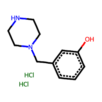 Cl.Cl.Oc1cccc(CN2CCNCC2)c1